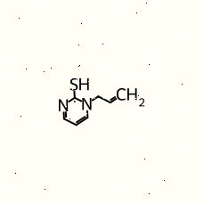 C=CCN1C=CC=N[C]1S